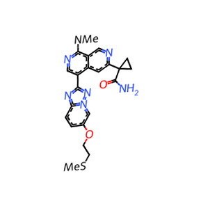 CNc1ncc(-c2nc3ccc(OCCSC)cn3n2)c2cc(C3(C(N)=O)CC3)ncc12